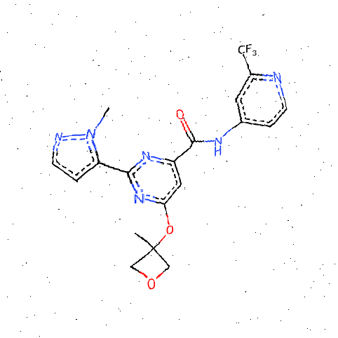 Cn1nccc1-c1nc(OC2(C)COC2)cc(C(=O)Nc2ccnc(C(F)(F)F)c2)n1